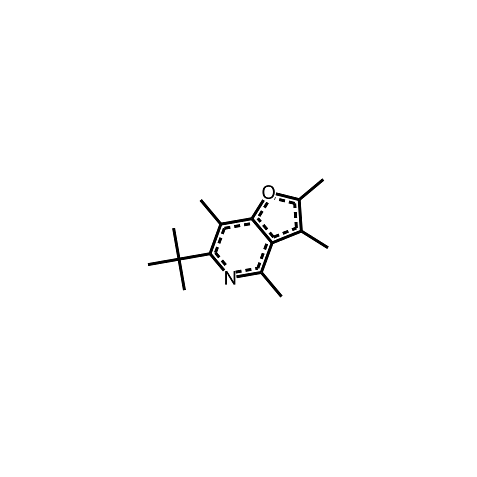 Cc1oc2c(C)c(C(C)(C)C)nc(C)c2c1C